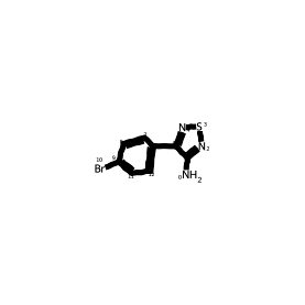 Nc1nsnc1-c1ccc(Br)cc1